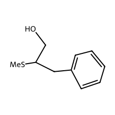 CSC(CO)Cc1ccccc1